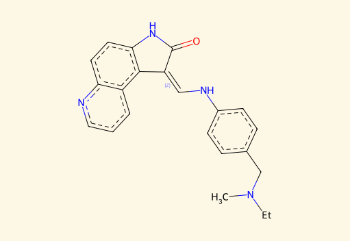 CCN(C)Cc1ccc(N/C=C2\C(=O)Nc3ccc4ncccc4c32)cc1